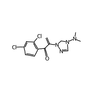 C=C(C(=O)c1ccc(Cl)cc1Cl)N1CN(N(C)C)C=N1